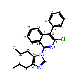 CCCc1ncn(-c2nc(Cl)c(-c3ccccc3)c3ccccc23)c1CCC